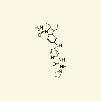 CCc1c(CC)n(C(N)=O)c2ccc(Nc3ccnc(NC(=O)NN4CCCC4)n3)cc12